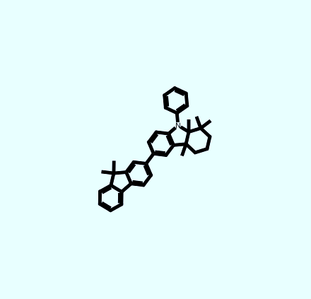 CC1(C)c2ccccc2-c2ccc(-c3ccc4c(c3)C3(C)CCCC(C)(C)C3(C)N4c3ccccc3)cc21